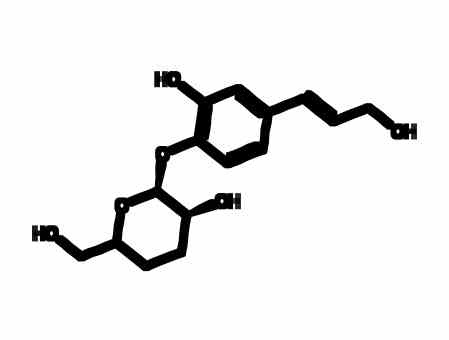 OC/C=C/c1ccc(O[C@@H]2OC(CO)CC[C@@H]2O)c(O)c1